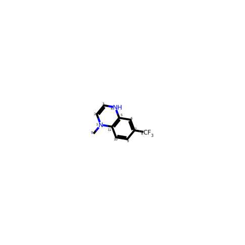 CN1C=CNc2cc(C(F)(F)F)ccc21